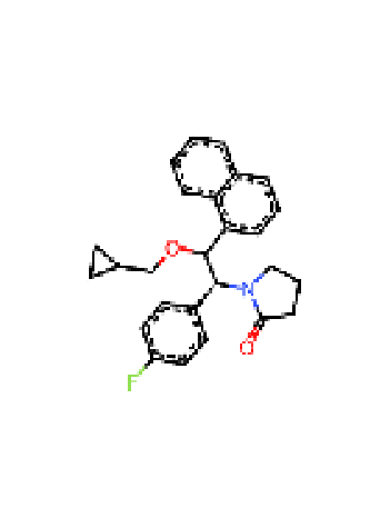 O=C1CCCN1[C@@H](c1ccc(F)cc1)[C@@H](OCC1CC1)c1cccc2ccccc12